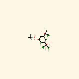 CC(C)(C)C(=O)OC1CC(C(O)(CF)C(F)(F)F)CC(C(O)(C(F)(F)F)C(F)(F)F)C1